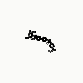 C[C@@H](O)[C@H](NC(=O)c1ccc(-c2ccc(NC(=O)CN3CCN(C(N)=O)CC3)cc2)cc1)C(=O)NO